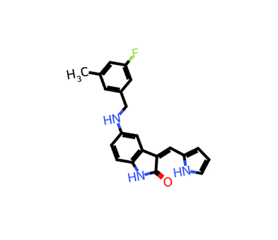 Cc1cc(F)cc(CNc2ccc3c(c2)C(=Cc2ccc[nH]2)C(=O)N3)c1